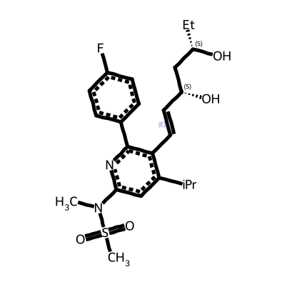 CC[C@H](O)C[C@H](O)/C=C/c1c(C(C)C)cc(N(C)S(C)(=O)=O)nc1-c1ccc(F)cc1